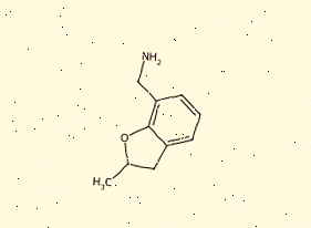 CC1Cc2cccc(CN)c2O1